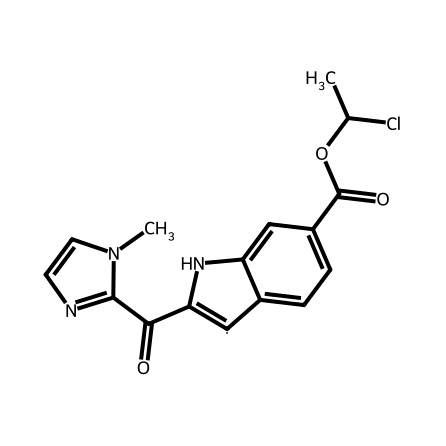 CC(Cl)OC(=O)c1ccc2[c]c(C(=O)c3nccn3C)[nH]c2c1